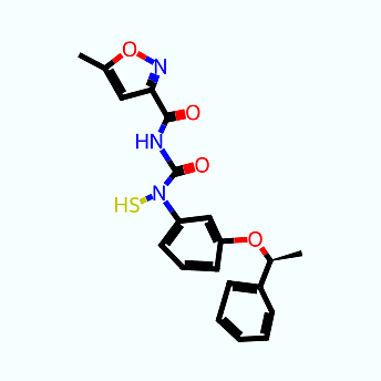 Cc1cc(C(=O)NC(=O)N(S)c2cccc(O[C@@H](C)c3ccccc3)c2)no1